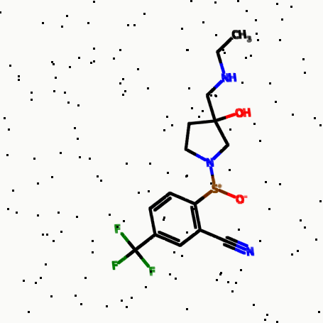 CCNCC1(O)CCN([S+]([O-])c2ccc(C(F)(F)F)cc2C#N)C1